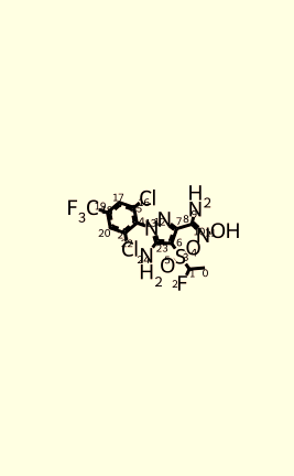 CC(F)S(=O)(=O)c1c(C(N)=NO)nn(-c2c(Cl)cc(C(F)(F)F)cc2Cl)c1N